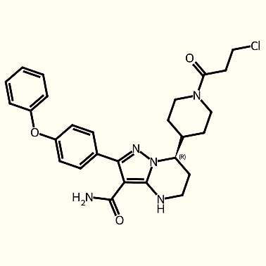 NC(=O)c1c(-c2ccc(Oc3ccccc3)cc2)nn2c1NCC[C@@H]2C1CCN(C(=O)CCCl)CC1